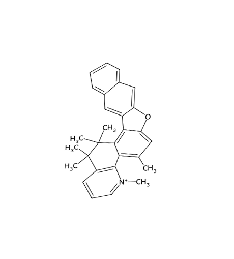 Cc1cc2oc3cc4ccccc4cc3c2c2c1-c1c(ccc[n+]1C)C(C)(C)C2(C)C